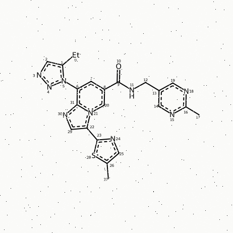 CCc1cnnn1-c1cc(C(=O)NCc2cnc(C)nc2)cn2c(-c3ncc(C)s3)cnc12